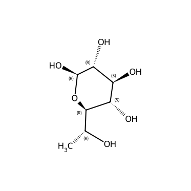 C[C@@H](O)[C@H]1O[C@@H](O)[C@H](O)[C@@H](O)[C@@H]1O